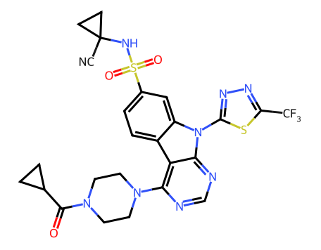 N#CC1(NS(=O)(=O)c2ccc3c4c(N5CCN(C(=O)C6CC6)CC5)ncnc4n(-c4nnc(C(F)(F)F)s4)c3c2)CC1